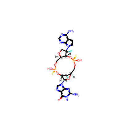 Nc1nc2c(ncn2[C@@H]2O[C@@H]3COP(O)(=S)O[C@@H]4[C@@H](COP(O)(=S)O[C@@H]2[C@@H]3F)OC[C@]4(F)n2ccc3c(N)ncnc32)c(=O)[nH]1